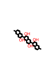 Cc1ccc2cc(-c3cc4cc(O)c(-c5cc6ccc(C)cc6cc5O)cc4cc3O)c(O)cc2c1